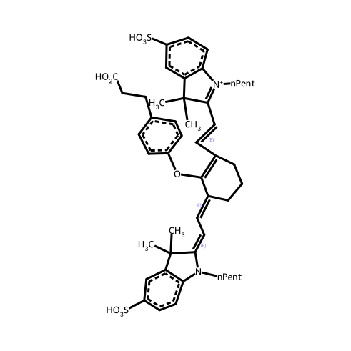 CCCCCN1/C(=C/C=C2\CCCC(/C=C/C3=[N+](CCCCC)c4ccc(S(=O)(=O)O)cc4C3(C)C)=C2Oc2ccc(CCC(=O)O)cc2)C(C)(C)c2cc(S(=O)(=O)O)ccc21